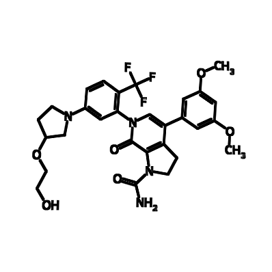 COc1cc(OC)cc(-c2cn(-c3cc(N4CCC(OCCO)C4)ccc3C(F)(F)F)c(=O)c3c2CCN3C(N)=O)c1